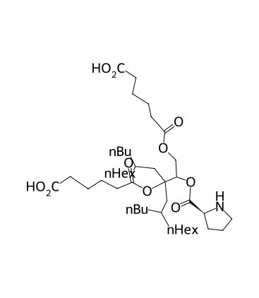 CCCCCCC(CCCC)CC(CC(CCCC)CCCCCC)(OC(=O)CCCCC(=O)O)C(COC(=O)CCCCC(=O)O)OC(=O)[C@@H]1CCCN1